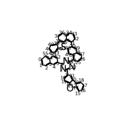 c1ccc2cc(-c3nc(-c4ccc5oc6ccccc6c5c4)nc(-c4cccc5cc(-c6cccc7ccc8c9ccccc9sc8c67)ccc45)n3)ccc2c1